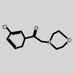 O=C(CN1CCOCC1)[C]1C=C(Cl)C=CC1